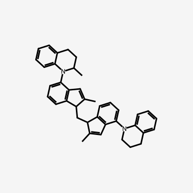 CC1=Cc2c(cccc2N2CCCc3ccccc32)C1CC1C(C)=Cc2c1cccc2N1c2ccccc2CCC1C